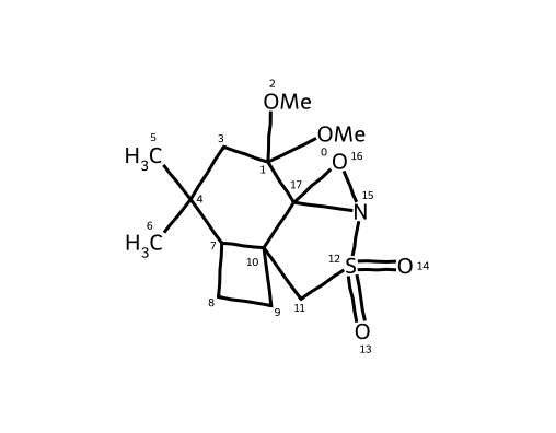 COC1(OC)CC(C)(C)C2CCC23CS(=O)(=O)N2OC213